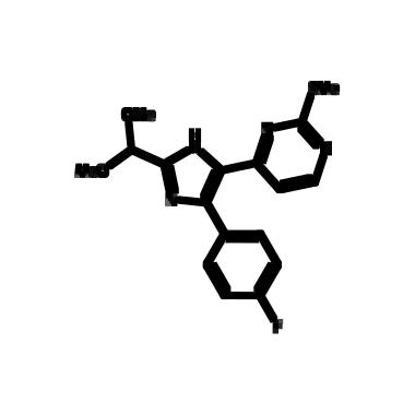 COC(OC)c1nc(-c2ccc(F)cc2)c(-c2ccnc(SC)n2)[nH]1